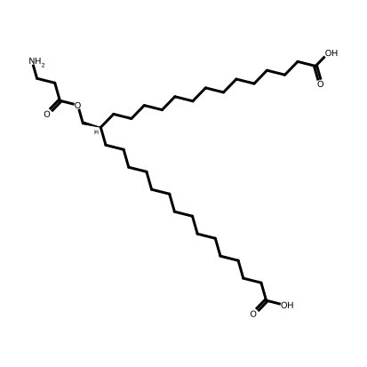 NCCC(=O)OC[C@H](CCCCCCCCCCCCCCC(=O)O)CCCCCCCCCCCCCC(=O)O